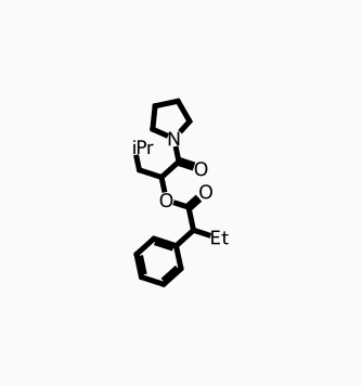 CCC(C(=O)OC(CC(C)C)C(=O)N1CCCC1)c1ccccc1